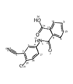 N#Cc1cc(NC(=O)c2ccccc2C(=O)O)ccc1Cl